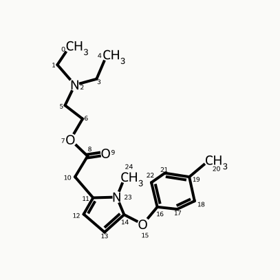 CCN(CC)CCOC(=O)Cc1ccc(Oc2ccc(C)cc2)n1C